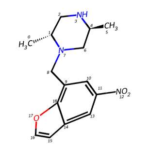 C[C@@H]1CN[C@@H](C)CN1Cc1cc([N+](=O)[O-])cc2ccoc12